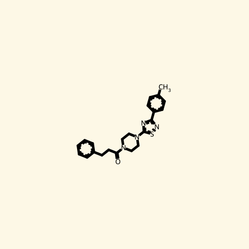 Cc1ccc(-c2nsc(N3CCN(C(=O)CCc4ccccc4)CC3)n2)cc1